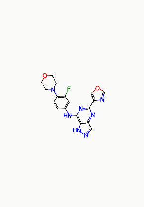 Fc1cc(Nc2nc(-c3cocn3)nc3cn[nH]c23)ccc1N1CCOCC1